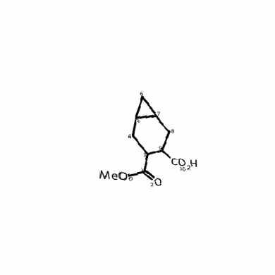 COC(=O)C1CC2CC2CC1C(=O)O